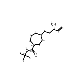 C=C[C@@H](O)CCN1CCCN(C(=O)OC(C)(C)C)CC1